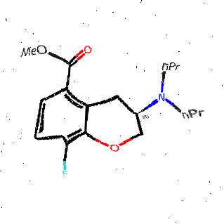 CCCN(CCC)[C@H]1COc2c(F)ccc(C(=O)OC)c2C1